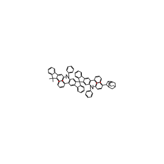 CC1(C)c2ccccc2-c2cc(N(c3ccccc3)c3cc4c(cc3-c3ccccc3)-c3ccccc3C43c4ccccc4-c4cc(-c5ccccc5)c(N(c5ccccc5)c5ccc(C6C7CC8CC(C7)C6C8)cc5)cc43)ccc21